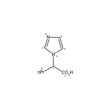 CCCC(C(=O)O)n1ccnc1